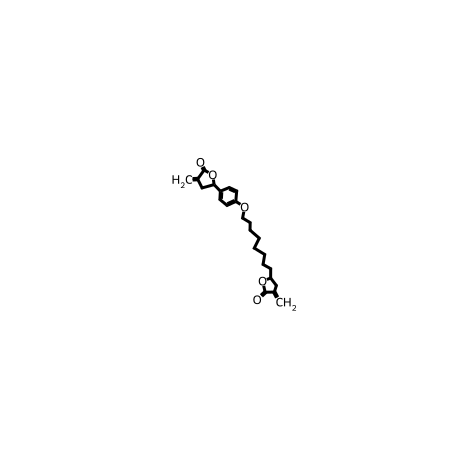 C=C1CC(CCCCCCCCOc2ccc(C3CC(=C)C(=O)O3)cc2)OC1=O